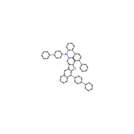 c1ccc(-c2ccc(-c3ccccc3N(c3ccc(-c4ccccc4)cc3)c3ccc4oc5c(-c6ccc(-c7ccccc7)cc6)c6ccccc6cc5c4c3)cc2)cc1